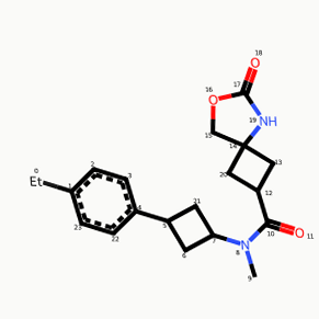 CCc1ccc(C2CC(N(C)C(=O)C3CC4(COC(=O)N4)C3)C2)cc1